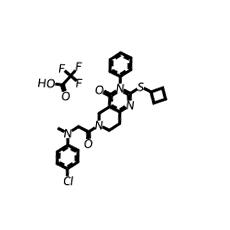 CN(CC(=O)N1CCc2nc(SC3CCC3)n(-c3ccccc3)c(=O)c2C1)c1ccc(Cl)cc1.O=C(O)C(F)(F)F